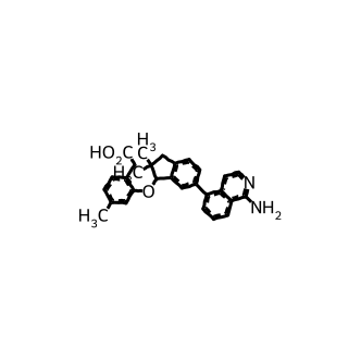 Cc1ccc(CC(=O)O)c(OC2c3cc(-c4cccc5c(N)nccc45)ccc3CC2(C)C)c1